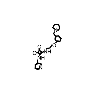 O=c1c(NCCCOc2cccc(CN3CCCCC3)c2)c(NCc2cccnc2)c1=O